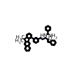 CC1(C)c2cc3ccccc3cc2-c2c(-c3cccc(/C=C/C(NC(N)c4ccccc4)c4cc5ccccc5o4)c3)cccc21